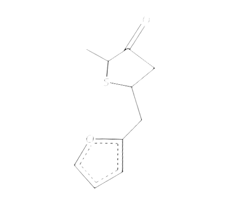 CC1SC(Cc2ccco2)CC1=O